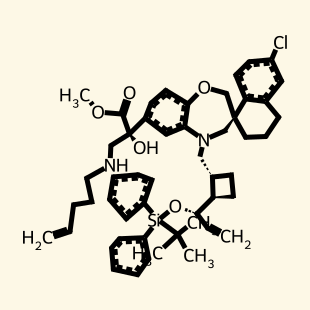 C=CCCCNC[C@](O)(C(=O)OC)c1ccc2c(c1)N(C[C@@H]1CC[C@H]1[C@H](C=C)O[Si](c1ccccc1)(c1ccccc1)C(C)(C)C)C[C@@]1(CCCc3cc(Cl)ccc31)CO2